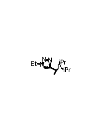 CCn1cc(C(C)P(C(C)C)C(C)C)nn1